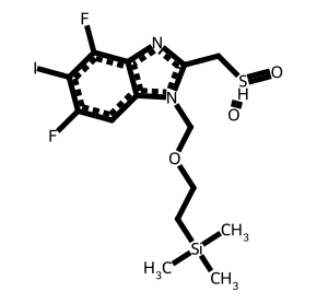 C[Si](C)(C)CCOCn1c(C[SH](=O)=O)nc2c(F)c(I)c(F)cc21